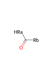 O=[C]([Rb])[RaH]